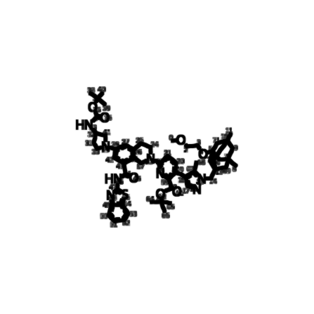 COCCOC12CC3(C)CC(C)(CC(Cn4ncc(-c5ccc(N6CCc7cc(N8CCC(NC(=O)OC(C)(C)C)C8)cc(C(=O)Nc8nc9ccccc9s8)c7C6)nc5C(=O)OC(C)(C)C)c4C)(C3)C1)C2